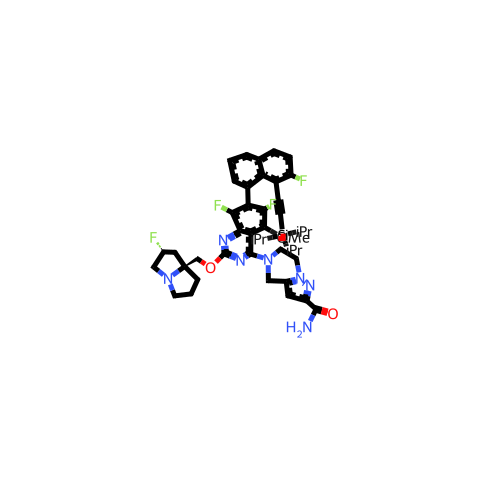 COc1c(F)c(-c2cccc3ccc(F)c(C#C[Si](C(C)C)(C(C)C)C(C)C)c23)c(F)c2nc(OC[C@@]34CCCN3C[C@H](F)C4)nc(N3CCn4nc(C(N)=O)cc4C3)c12